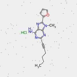 CCCCC#Cc1nc(N)c2nc(-c3ccco3)n(C)c2n1.Cl